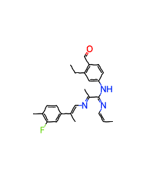 C\C=C/N=C(Nc1ccc(C=O)c(CC)c1)\C(C)=N\C=C(/C)c1ccc(C)c(F)c1